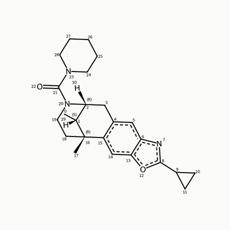 C[C@@H]1[C@H]2Cc3cc4nc(C5CC5)oc4cc3[C@]1(C)CCN2C(=O)N1CCCCC1